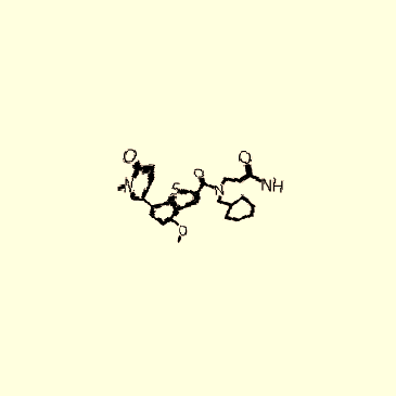 CNC(=O)CCN(CC1CCCCC1)C(=O)c1cc2c(OC)ccc(-c3ccc(=O)n(C)c3)c2s1